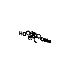 C=CC[C@@H](CC)S(=O)(=O)N(Cc1ccc(O)cc1)Cc1ccc(OC)cc1